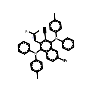 C#Cc1c(/C=C(\C)C(C)C)c(N(c2ccccc2)c2ccc(C)cc2)c2ccc(C(C)C)cc2c1N(c1ccccc1)c1ccc(C)cc1